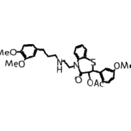 COc1cccc(C2Sc3ccccc3N(CCNCCCc3ccc(OC)c(OC)c3)C(=O)C2OC(C)=O)c1